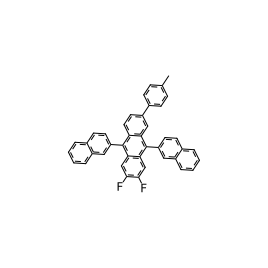 Cc1ccc(-c2ccc3c(-c4ccc5ccccc5c4)c4cc(F)c(F)cc4c(-c4ccc5ccccc5c4)c3c2)cc1